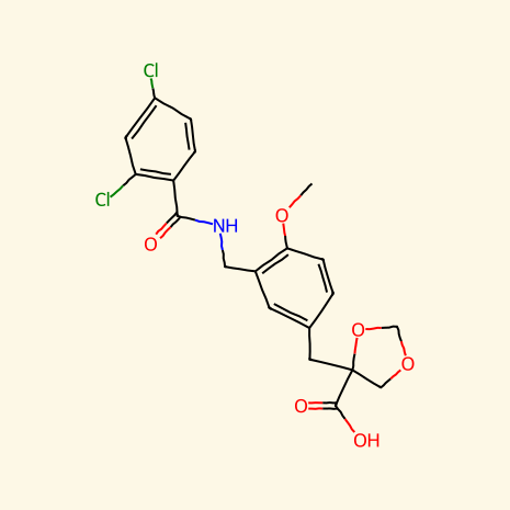 COc1ccc(CC2(C(=O)O)COCO2)cc1CNC(=O)c1ccc(Cl)cc1Cl